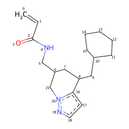 C=CC(=O)NCC1CC(CC2CCCCC2)c2ccnn2C1